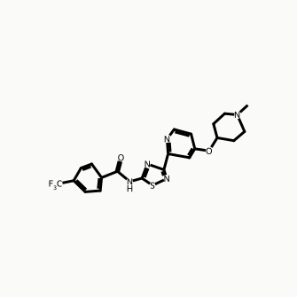 CN1CCC(Oc2ccnc(-c3nsc(NC(=O)c4ccc(C(F)(F)F)cc4)n3)c2)CC1